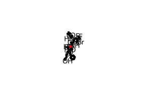 CC(C)(C)OC(=O)Nc1cc(C(F)(F)F)c(Br)nc1C(=O)NNC(=O)C(COCCCO)(OCc1ccccc1)C(F)(F)F